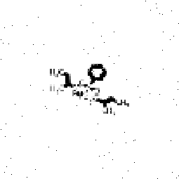 CC=C(C)[SiH2]O[Si](O)(O[SiH2]C(C)=CC)c1ccccc1